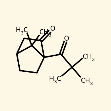 CC(C)(C)C(=O)C12CCC(CC1=O)C2(C)C